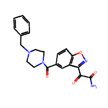 NC(=O)C(=O)c1noc2ccc(C(=O)N3CCN(Cc4ccccc4)CC3)cc12